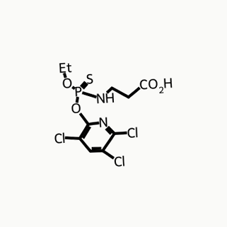 CCOP(=S)(NCCC(=O)O)Oc1nc(Cl)c(Cl)cc1Cl